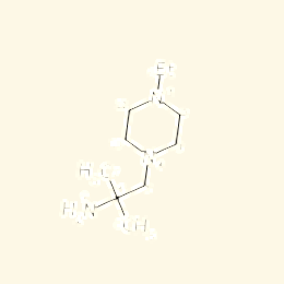 CCN1CCN(CC(C)(C)N)CC1